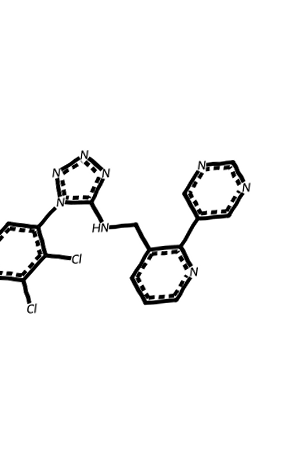 Clc1cccc(-n2nnnc2NCc2cccnc2-c2cncnc2)c1Cl